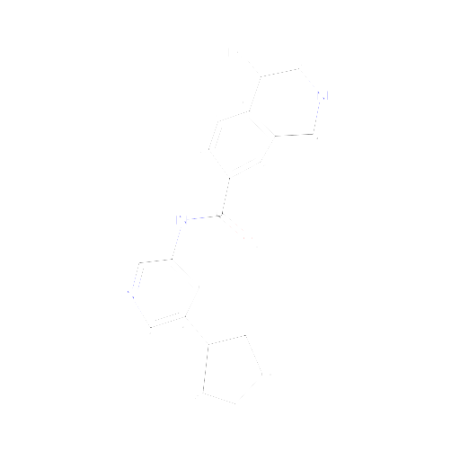 CC1CNCc2cc(C(=O)Nc3cncc(C4CCCC4)c3)ccc21